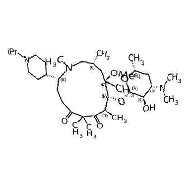 CO[C@]1(C)C[C@@H](C)CN(C)[C@@H](C2CCN(C(C)C)CC2)CCC(=O)C(C)(C)C(=O)[C@H](C)[C@H]1O[C@@H]1O[C@H](C)C[C@H](N(C)C)[C@H]1O